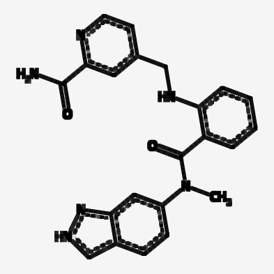 CN(C(=O)c1ccccc1NCc1ccnc(C(N)=O)c1)c1ccc2c[nH]nc2c1